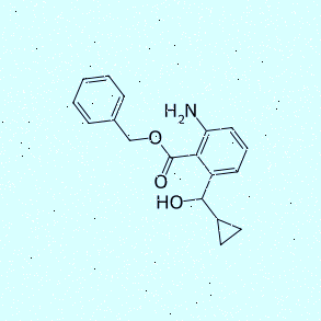 Nc1cccc(C(O)C2CC2)c1C(=O)OCc1ccccc1